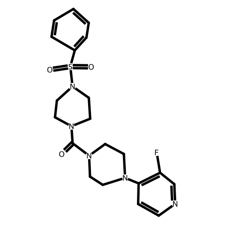 O=C(N1CCN(c2ccncc2F)CC1)N1CCN(S(=O)(=O)c2ccccc2)CC1